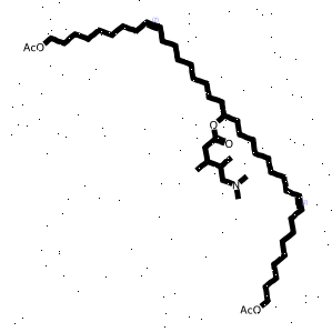 CC(=O)OCCCCCCCC/C=C\CCCCCCCCC(CCCCCCCC/C=C\CCCCCCCCOC(C)=O)OC(=O)CC(C)C(C)CN(C)C